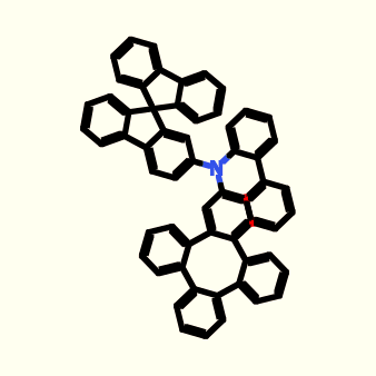 c1ccc(-c2ccccc2N(c2ccc3c(c2)-c2ccccc2-c2ccccc2-c2ccccc2-3)c2ccc3c(c2)C2(c4ccccc4-c4ccccc42)c2ccccc2-3)cc1